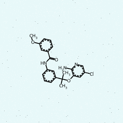 COc1cccc(C(=O)Nc2cccc(C(C)(C)Oc3cc(Cl)cnc3N)c2)c1